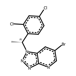 C[C@H](c1ccc(Cl)cc1Cl)n1nnc2ncc(Br)cc21